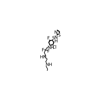 CCCNCCNCCC(F)(F)CNc1cc(F)c(SNc2nccs2)cc1Cl